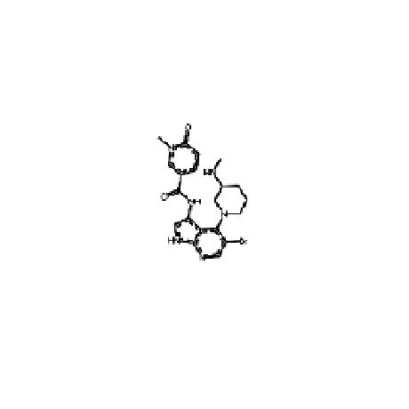 CNC1CCCN(c2c(Br)cnc3[nH]cc(NC(=O)c4ccc(=O)n(C)c4)c23)C1